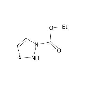 CCOC(=O)N1C=CSN1